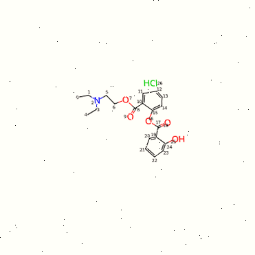 CCN(CC)CCOC(=O)c1ccccc1OC(=O)c1ccccc1O.Cl